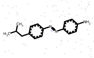 CC(C)Cc1ccc(/N=N/c2ccc(N)cc2)cc1